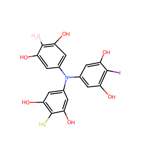 Bc1c(O)cc(N(c2cc(O)c(S)c(O)c2)c2cc(O)c(I)c(O)c2)cc1O